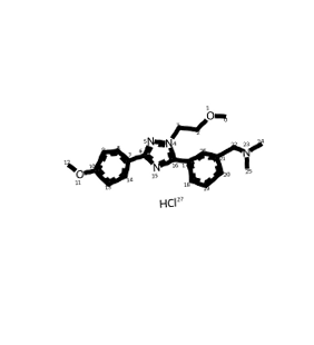 COCCn1nc(-c2ccc(OC)cc2)nc1-c1cccc(CN(C)C)c1.Cl